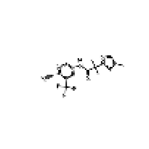 Cc1cnn(C(C)(C)C(=S)Nc2cnc(C#N)c(C(F)(F)F)c2)c1